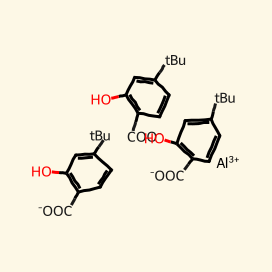 CC(C)(C)c1ccc(C(=O)[O-])c(O)c1.CC(C)(C)c1ccc(C(=O)[O-])c(O)c1.CC(C)(C)c1ccc(C(=O)[O-])c(O)c1.[Al+3]